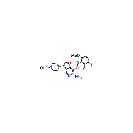 COc1ccc(F)c(Cl)c1[C@@H](C)Oc1c(N)ncc2c(C3=CCN(C=O)CC3)coc12